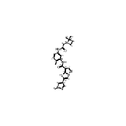 Cc1ncc(NC(=O)CN2CCC2(C)C)cc1NC(=O)c1cnn2cc(-c3cnn(C)c3)sc12